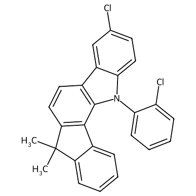 CC1(C)c2ccccc2-c2c1ccc1c3cc(Cl)ccc3n(-c3ccccc3Cl)c21